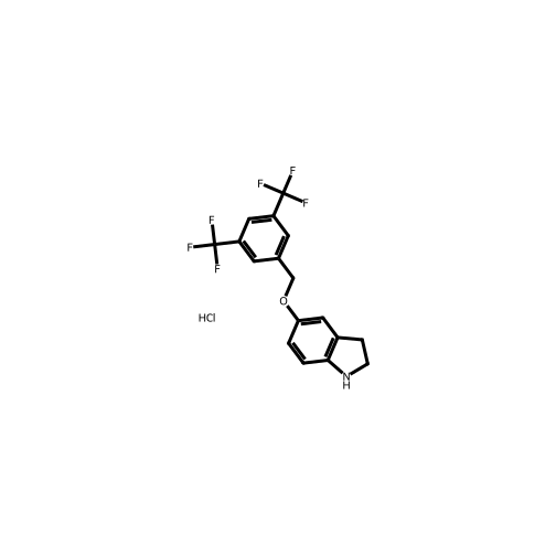 Cl.FC(F)(F)c1cc(COc2ccc3c(c2)CCN3)cc(C(F)(F)F)c1